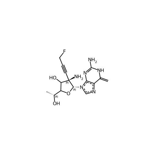 C=C1NC(N)=Nc2c1ncn2[C@@H]1OC([C@@H](C)O)C(O)[C@]1(N)C#CCF